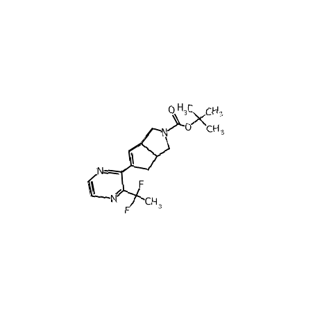 CC(C)(C)OC(=O)N1CC2C=C(c3nccnc3C(C)(F)F)CC2C1